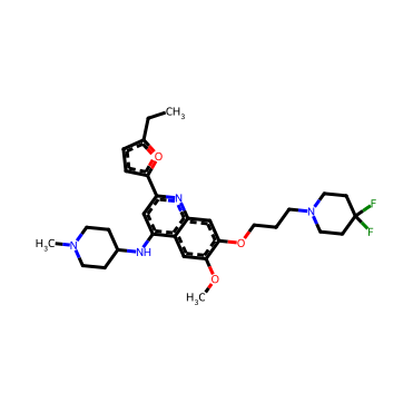 CCc1ccc(-c2cc(NC3CCN(C)CC3)c3cc(OC)c(OCCCN4CCC(F)(F)CC4)cc3n2)o1